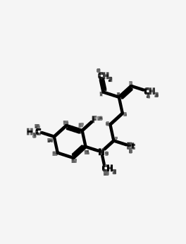 C=C/C(=C/C)CCC(CC)N(C)C1=CCC(C)C=C1F